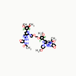 C=CC(=O)N[C@H]1CCOC[C@H]1N/C(N=C)=N/c1c(C)cc(-c2c(F)c(OC)cc(OCCOC3CCN(c4nc(-c5c(F)c(OC)cc(OC)c5F)cc5cnc(N[C@@H]6COCC[C@@H]6NC(=O)C=C)nc45)C3)c2F)nc1N1CCC(OC)CC1